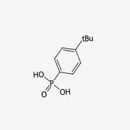 CC(C)(C)c1ccc(P(=O)(O)O)cc1